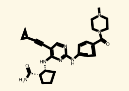 CN1CCN(C(=O)c2ccc(Nc3ncc(C#CC4CC4)c(N[C@@H]4CCC[C@@H]4C(N)=O)n3)cc2)CC1